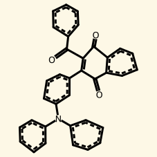 O=C(C1=C(c2cccc(N(c3ccccc3)c3ccccc3)c2)C(=O)c2ccccc2C1=O)c1ccccc1